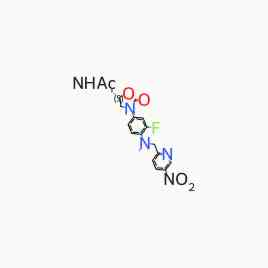 CC(=O)NC[C@H]1CN(c2ccc(N(C)Cc3ccc([N+](=O)[O-])cn3)c(F)c2)C(=O)O1